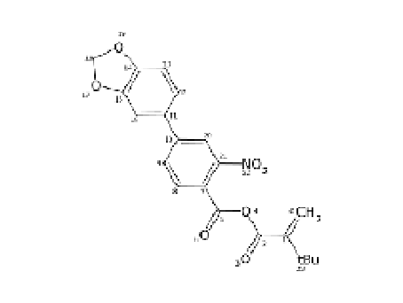 C=C(C(=O)OC(=O)c1ccc(-c2ccc3c(c2)OCO3)cc1[N+](=O)[O-])C(C)(C)C